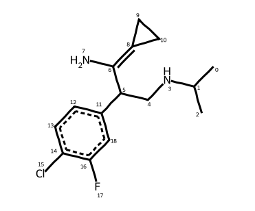 CC(C)NCC(C(N)=C1CC1)c1ccc(Cl)c(F)c1